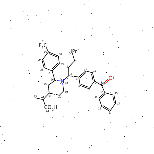 CC(C)CCC(c1ccc(C(=O)c2ccccc2)cc1)N1CCC(C(C)C(=O)O)CC1c1ccc(C(F)(F)F)cc1